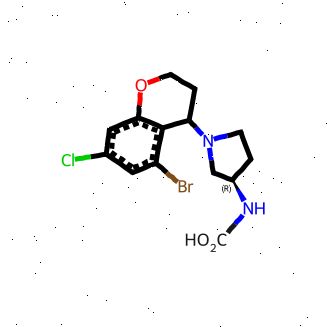 O=C(O)N[C@@H]1CCN(C2CCOc3cc(Cl)cc(Br)c32)C1